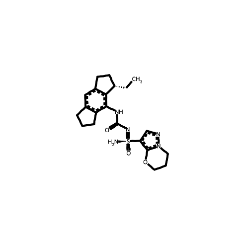 CC[C@H]1CCc2cc3c(c(NC(=O)N=[S@@](N)(=O)c4cnn5c4OCCC5)c21)CCC3